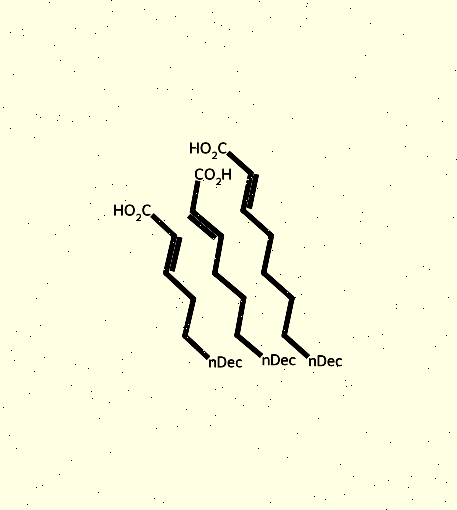 CCCCCCCCCCCCC=CC(=O)O.CCCCCCCCCCCCCC=CC(=O)O.CCCCCCCCCCCCCCC=CC(=O)O